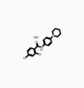 Cl.O=C(Nc1ccc(N2CCCCC2)cc1)c1ccc(Cl)cc1Cl